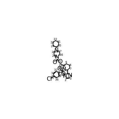 Cn1ccnc1C1CCCC(COC(=O)N2CCN(C3CCCCC3)CC2)N1S(=O)(=O)c1ccc(Cl)cc1